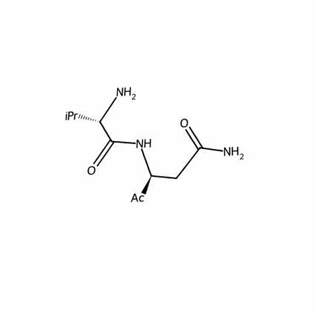 CC(=O)[C@H](CC(N)=O)NC(=O)[C@@H](N)C(C)C